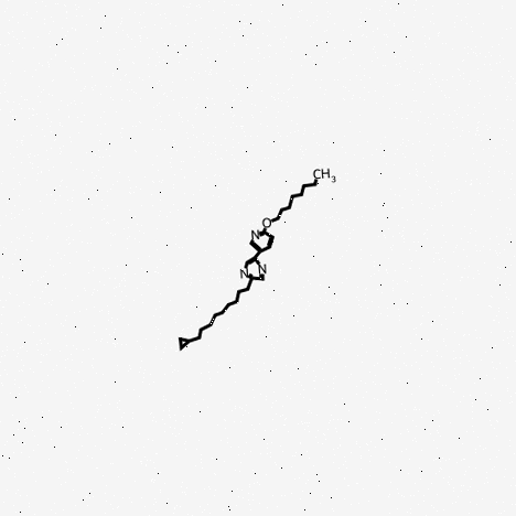 CCCCCCCCOc1ccc(-c2cnc(CCCCCCCCCC3CC3)cn2)cn1